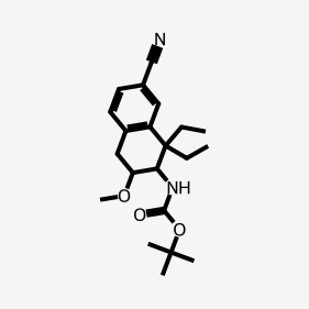 CCC1(CC)c2cc(C#N)ccc2CC(OC)C1NC(=O)OC(C)(C)C